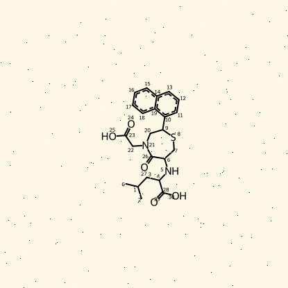 CC(C)CC(NC1CSC(c2cccc3ccccc23)CN(CC(=O)O)C1=O)C(=O)O